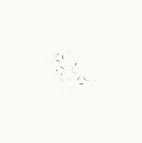 CCOc1ncc(C(F)(F)F)cc1-c1cnc(N2CC(F)C2)nc1CN1C(=O)O[C@H](c2cc(C)cc(C)c2)[C@@H]1C